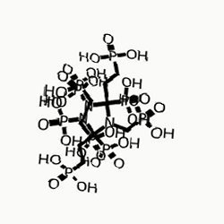 O=P(O)(O)CCC(N(CP(=O)(O)O)C(CCP(=O)(O)O)(N(CP(=O)(O)O)P(=O)(O)O)P(=O)(O)O)(N(CP(=O)(O)O)P(=O)(O)O)P(=O)(O)O